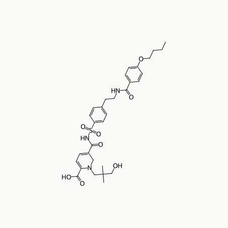 CCCCOc1ccc(C(=O)NCCc2ccc(S(=O)(=O)NC(=O)C3=CC=C(C(=O)O)N(CC(C)(C)CO)C3)cc2)cc1